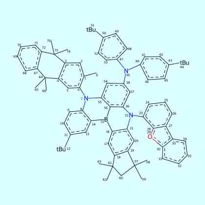 Cc1cc2c(cc1N1c3ccc(C(C)(C)C)cc3B3c4cc5c(cc4N(c4cccc6c4oc4ccccc46)c4cc(N(c6ccc(C(C)(C)C)cc6)c6ccc(C(C)(C)C)cc6)cc1c43)C(C)(C)CC5(C)C)C(C)(C)c1ccccc1C2(C)C